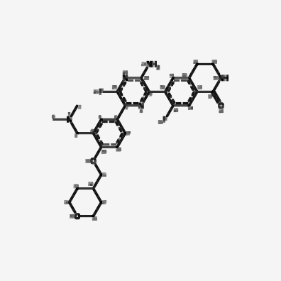 CN(C)Cc1cc(-c2nc(-c3cc4c(cc3F)C(=O)NCC4)c(N)nc2F)ccc1OCC1CCOCC1